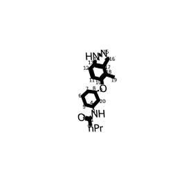 CCCC(=O)N[C@@H]1CCC[C@H](Oc2ccc3[nH]ncc3c2C)C1